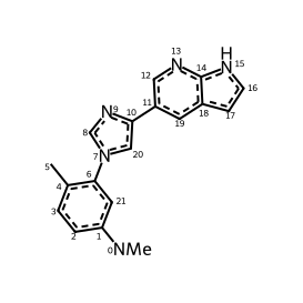 CNc1ccc(C)c(-n2cnc(-c3cnc4[nH]ccc4c3)c2)c1